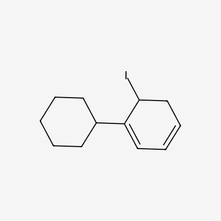 IC1CC=CC=C1C1CCCCC1